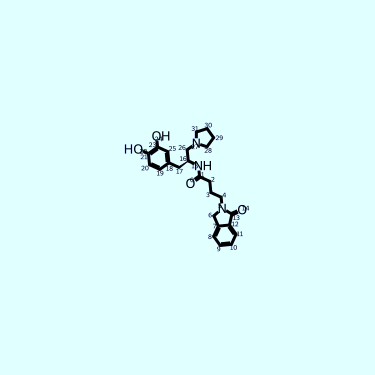 O=C(CCCN1Cc2ccccc2C1=O)N[C@@H](Cc1ccc(O)c(O)c1)CN1CCCC1